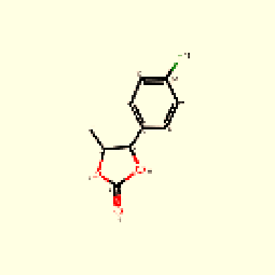 [CH2]C1OC(=O)OC1c1ccc(F)cc1